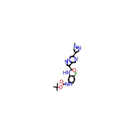 Cn1cc(-c2cn3ncc(C(=O)Nc4cc(NC(=O)OC(C)(C)C)ccc4F)c3cn2)cn1